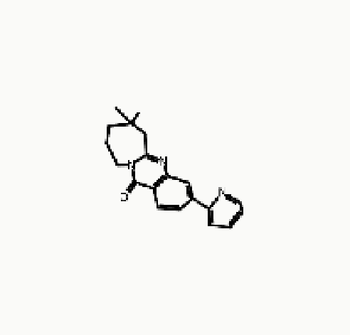 CC1(C)CCCn2c(nc3cc(-c4ccccn4)ccc3c2=O)C1